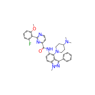 COc1cccc(F)c1-c1nccc(C(=O)Nc2ccc3c(c(-c4ccccc4)nn3C)c2N2CCC(N(C)C)CC2)n1